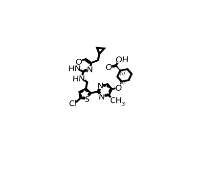 Cc1nc(-c2sc(Cl)cc2CNC2=NC(CC3CC3)=CON2)ncc1O[C@H]1CCC[C@H](C(=O)O)C1